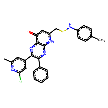 COc1ccc(NSCc2cc(=O)c3nc(-c4cc(C)nc(Cl)c4)c(-c4ccccc4)nc3[nH]2)cc1